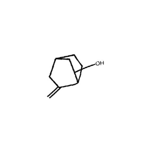 C=C1CC2CCC1C(O)C2